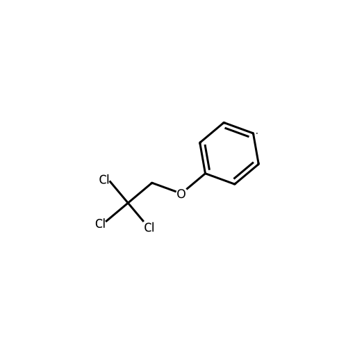 ClC(Cl)(Cl)COc1cc[c]cc1